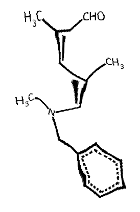 C/C(C=O)=C/C(C)=C\N(C)Cc1ccccc1